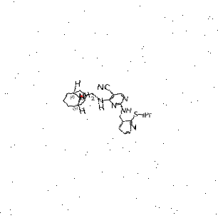 CC(C)Sc1ncccc1CNc1ncc(C#N)c(NCC2C[C@H]3CCC[C@@H](C2)[C@@H]3N)n1